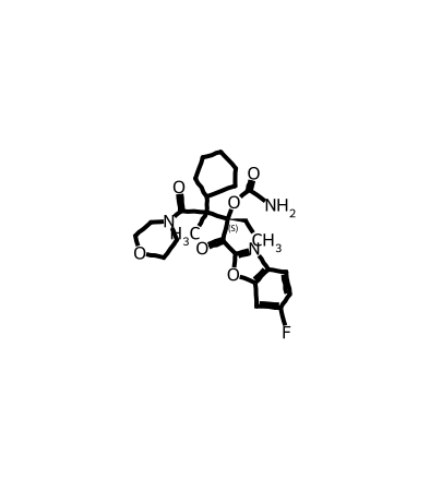 CC[C@@](OC(N)=O)(C(=O)c1nc2ccc(F)cc2o1)C(C)(C(=O)N1CCOCC1)C1CCCCC1